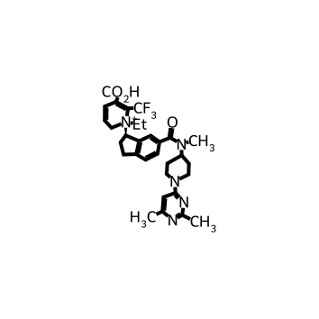 CC[N+]1([C@@H]2CCc3ccc(C(=O)N(C)C4CCN(c5cc(C)nc(C)n5)CC4)cc32)CC=CC(C(=O)O)=C1C(F)(F)F